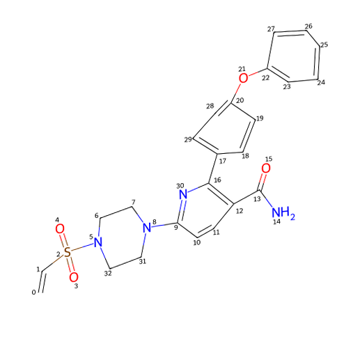 C=CS(=O)(=O)N1CCN(c2ccc(C(N)=O)c(-c3ccc(Oc4ccccc4)cc3)n2)CC1